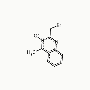 Cc1c2ccccc2nc(CBr)[n+]1[O-]